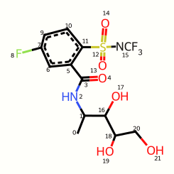 CC(NC(=O)c1cc(F)ccc1S(=O)(=O)NC(F)(F)F)C(O)C(O)CO